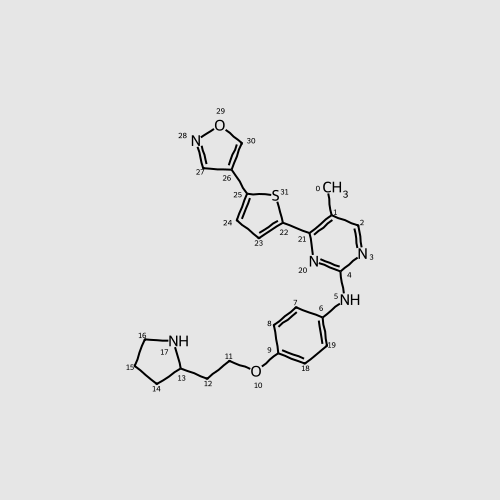 Cc1cnc(Nc2ccc(OCCC3CCCN3)cc2)nc1-c1ccc(-c2cnoc2)s1